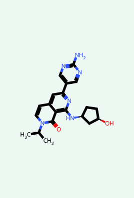 CC(C)n1ccc2cc(-c3cnc(N)nc3)nc(N[C@H]3CC[C@@H](O)C3)c2c1=O